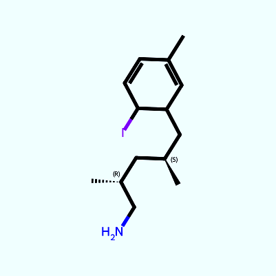 CC1=CC(C[C@@H](C)C[C@@H](C)CN)C(I)C=C1